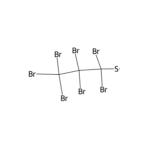 [S]C(Br)(Br)C(Br)(Br)C(Br)(Br)Br